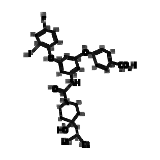 CCC(CC)CC1(O)CCN(C(=O)Nc2cc(Oc3ccc(C(=O)O)cc3)cc(Oc3ccc(F)cc3F)c2)CC1